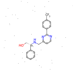 OC[C@H](NCc1ccnc(-c2ccc(C(F)(F)F)cc2)n1)c1ccccc1